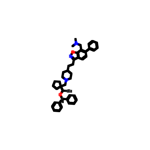 CN(C)Cc1c(-c2ccccc2)ccc2c(CCC3CCN(CC4(C(O[SiH](c5ccccc5)c5ccccc5)C(C)(C)C)CCCC4)CC3)noc12